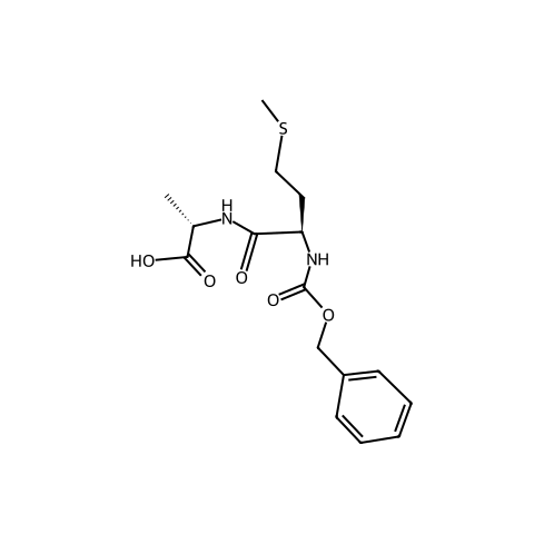 CSCC[C@@H](NC(=O)OCc1ccccc1)C(=O)N[C@@H](C)C(=O)O